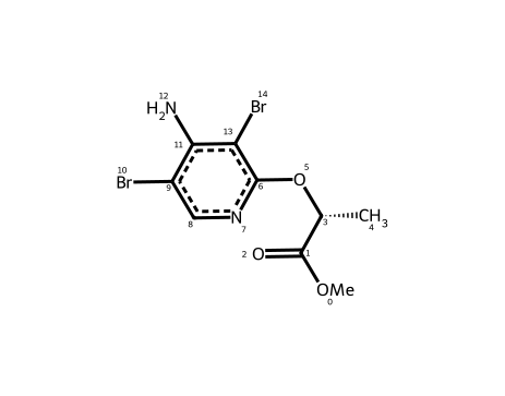 COC(=O)[C@@H](C)Oc1ncc(Br)c(N)c1Br